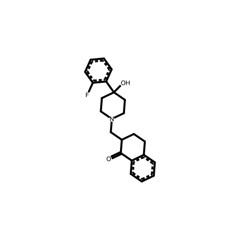 O=C1c2ccccc2CCC1CN1CCC(O)(c2ccccc2F)CC1